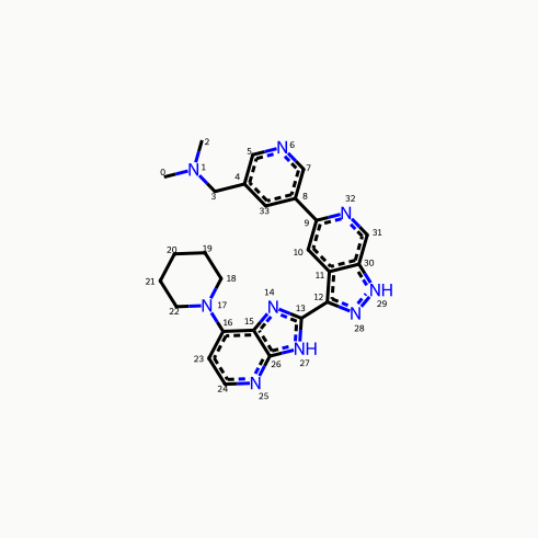 CN(C)Cc1cncc(-c2cc3c(-c4nc5c(N6CCCCC6)ccnc5[nH]4)n[nH]c3cn2)c1